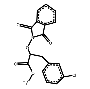 COC(=O)C(Cc1cccc(Cl)c1)ON1C(=O)c2ccccc2C1=O